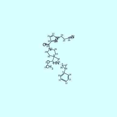 COCC1(CN[C@@H]2CC2c2ccccc2)CCN(C(=O)c2ccn(CCC#N)n2)CC1